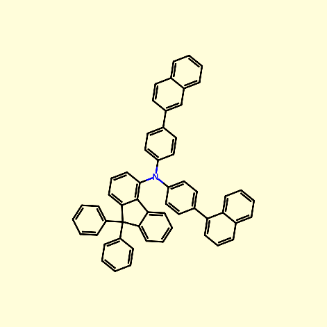 c1ccc(C2(c3ccccc3)c3ccccc3-c3c(N(c4ccc(-c5ccc6ccccc6c5)cc4)c4ccc(-c5cccc6ccccc56)cc4)cccc32)cc1